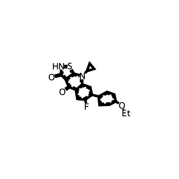 CCOc1ccc(-c2cc3c(cc2F)c(=O)c2c(=O)[nH]sc2n3C2CC2)cc1